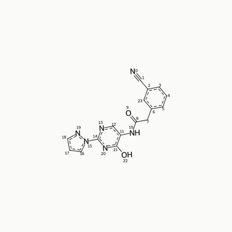 N#Cc1cccc(CC(=O)Nc2cnc(-n3cccn3)nc2O)c1